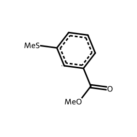 COC(=O)c1[c]c(SC)ccc1